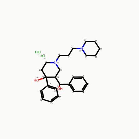 Cl.Cl.OC(c1ccccc1)C1CN(CCCN2CCCCC2)CCC1(O)c1ccccc1